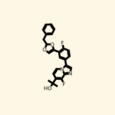 CC(C)(O)c1ccn2c(-c3ccc(F)c(C4=COC(Cc5ccccc5)O4)c3)cnc2c1F